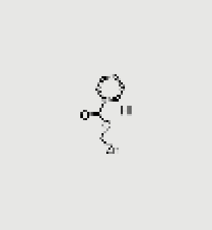 I.O=C(O[CH2][Zn])c1ccccc1